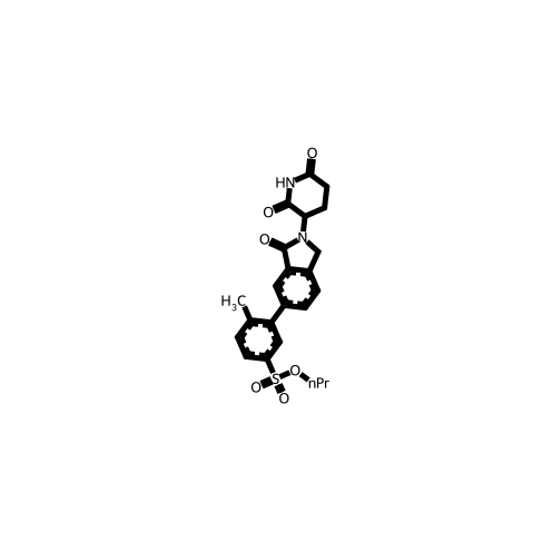 CCCOS(=O)(=O)c1ccc(C)c(-c2ccc3c(c2)C(=O)N(C2CCC(=O)NC2=O)C3)c1